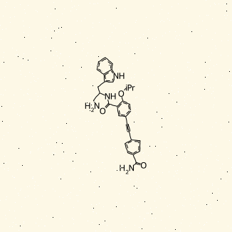 CC(C)Oc1ccc(C#Cc2ccc(C(N)=O)cc2)cc1C(=O)NC(CN)Cc1c[nH]c2ccccc12